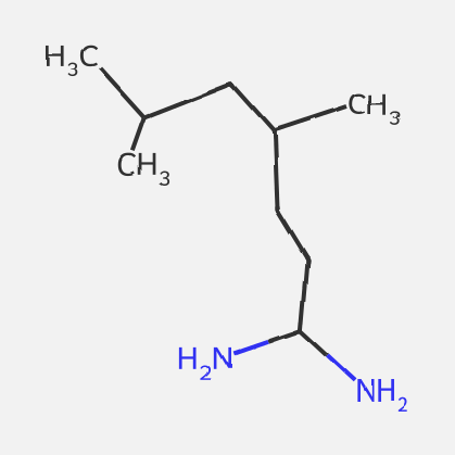 CC(C)CC(C)CCC(N)N